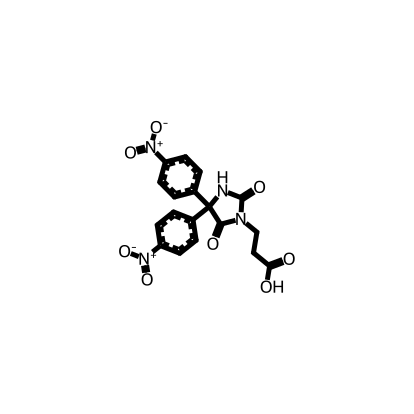 O=C(O)CCN1C(=O)NC(c2ccc([N+](=O)[O-])cc2)(c2ccc([N+](=O)[O-])cc2)C1=O